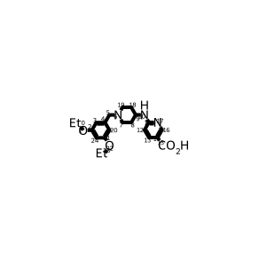 CCOc1cc(CN2CCC(Nc3ccc(C(=O)O)cn3)CC2)cc(OCC)c1